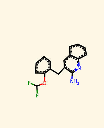 Nc1nc2ccccc2cc1Cc1ccccc1OC(F)F